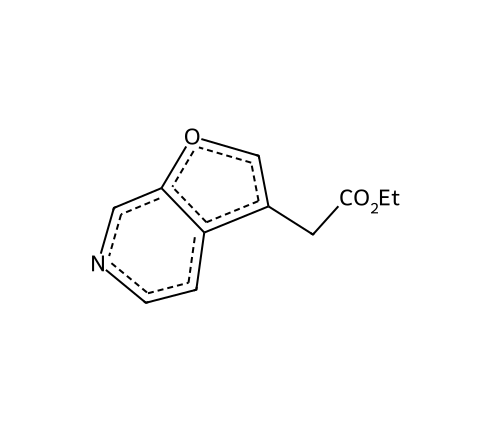 CCOC(=O)Cc1coc2cnccc12